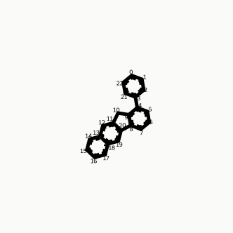 c1ccc(-c2cccc3c2Cc2cc4ccccc4cc2-3)cc1